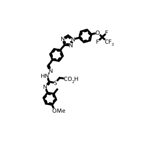 COc1ccc(/N=C(/N/N=C/c2ccc(-c3ncn(-c4ccc(OC(F)(F)C(F)(F)F)cc4)n3)cc2)SCC(=O)O)c(C)c1